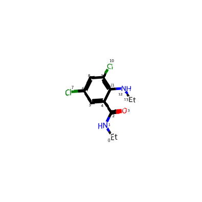 CCNC(=O)c1cc(Cl)cc(Cl)c1NCC